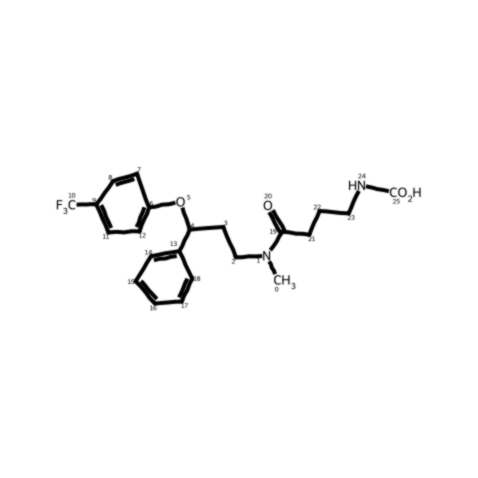 CN(CCC(Oc1ccc(C(F)(F)F)cc1)c1ccccc1)C(=O)CCCNC(=O)O